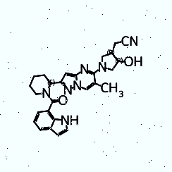 Cc1cn2nc([C@@H]3CCCCN3C(=O)c3cccc4cc[nH]c34)cc2nc1N1C[C@@H](CC#N)[C@@H](O)C1